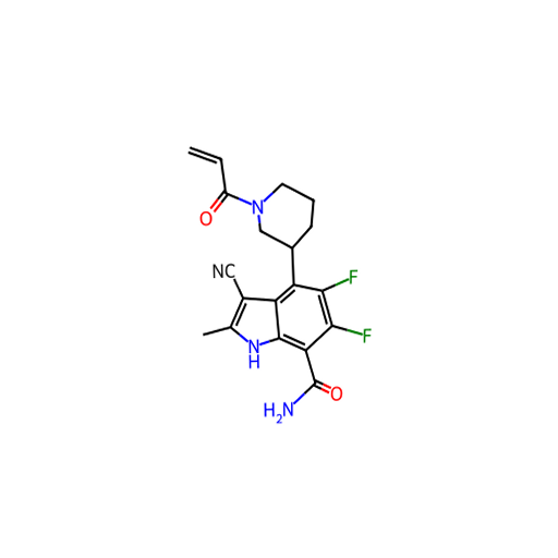 C=CC(=O)N1CCCC(c2c(F)c(F)c(C(N)=O)c3[nH]c(C)c(C#N)c23)C1